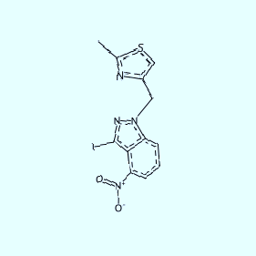 Cc1nc(Cn2nc(I)c3c([N+](=O)[O-])cccc32)cs1